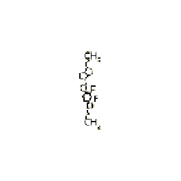 C=CCCOc1ccc(OCC2CCC3C(CCC)CCC23)c(F)c1F